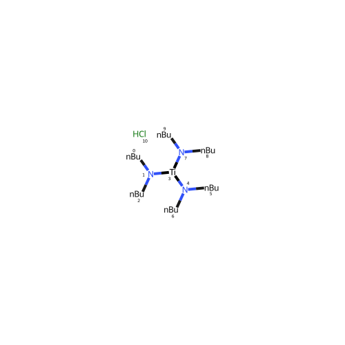 CCCC[N](CCCC)[Ti]([N](CCCC)CCCC)[N](CCCC)CCCC.Cl